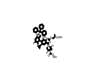 CO[C@@H](C)COc1nc(N2C[C@@H]3C[C@H]2CN3C(=O)OC(C)(C)C)c2cc(C3CC3)c(-c3c(C)c(F)cc4nn(C(c5ccccc5)(c5ccccc5)c5ccccc5)cc34)c(O)c2n1